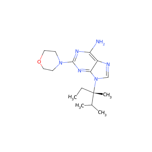 CC[C@@](C)(C(C)C)n1cnc2c(N)nc(N3CCOCC3)nc21